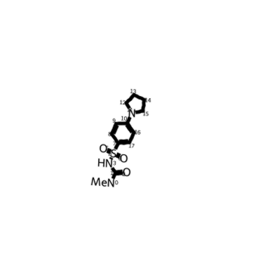 CNC(=O)NS(=O)(=O)c1ccc(N2CCCC2)cc1